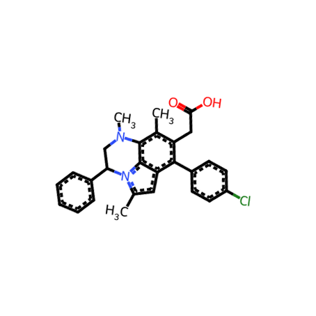 Cc1c(CC(=O)O)c(-c2ccc(Cl)cc2)c2cc(C)n3c2c1N(C)CC3c1ccccc1